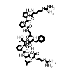 CC(C)C[C@H](NC(=O)[C@@H]1CCCN1C(=O)[C@@H](NC(=O)[C@H](Cc1ccccc1)NC(=O)CNC(=O)[C@@H]1CCCN1C(=O)[C@@H]1CCCN1C(=O)[C@@H](N)CCCN=C(N)N)[C@@H](C)O)C(=O)N[C@@H](CCCN=C(N)N)C(=O)O